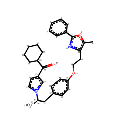 Cc1oc(-c2ccccc2)nc1CCOc1ccc(C[C@@H](C(=O)O)n2ccc(C(=O)C3CCCCC3)c2)cc1